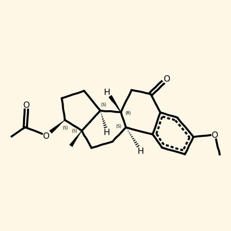 COc1ccc2c(c1)C(=O)C[C@@H]1[C@@H]2CC[C@]2(C)[C@@H](OC(C)=O)CC[C@@H]12